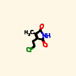 CC1=C(CCCl)C(=O)NC1=O